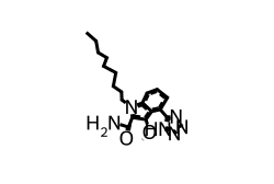 CCCCCCCCCn1c(C(N)=O)c(OC)c2c(-c3nnn[nH]3)cccc21